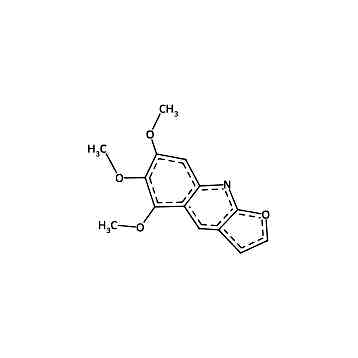 COc1cc2nc3occc3cc2c(OC)c1OC